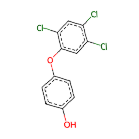 Oc1ccc(Oc2cc(Cl)c(Cl)cc2Cl)cc1